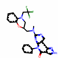 CN(CC1CN(CC(F)(F)F)c2ccccc2O1)c1ncc2c3n[nH]cc3c(=O)n(-c3ccccc3)c2n1